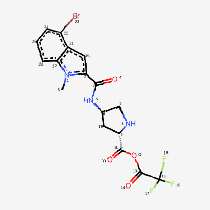 Cn1c(C(=O)N[C@H]2CN[C@H](C(=O)OC(=O)C(F)(F)F)C2)cc2c(Br)cccc21